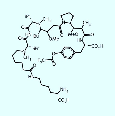 CC[C@H](C)[C@@H]([C@@H](CC(=O)N1CCC[C@H]1[C@H](OC)[C@@H](C)C(=O)N[C@@H](Cc1ccc(OC(=O)C(F)(F)F)cc1)C(=O)O)OC)N(C)[C@H](C(=O)NC(=O)[C@H](C(C)C)N(C)CCCCCC(=O)NCCCC[C@H](N)C(=O)O)C(C)C